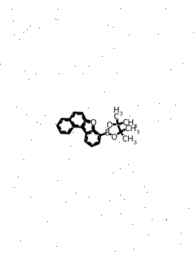 CC1(C)OB(c2cccc3c2oc2ccc4ccccc4c23)OC1(C)C